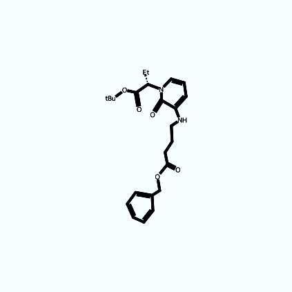 CC[C@@H](C(=O)OC(C)(C)C)n1cccc(NCCCC(=O)OCc2ccccc2)c1=O